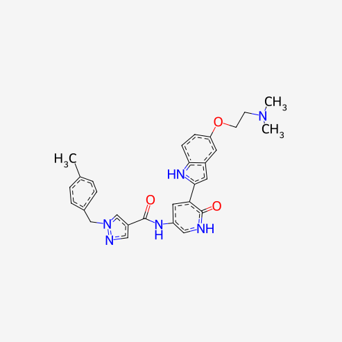 Cc1ccc(Cn2cc(C(=O)Nc3c[nH]c(=O)c(-c4cc5cc(OCCN(C)C)ccc5[nH]4)c3)cn2)cc1